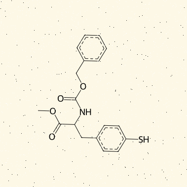 COC(=O)C(Cc1ccc(S)cc1)NC(=O)OCc1ccccc1